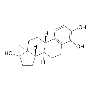 C[C@]12CC[C@@H]3c4ccc(O)c(O)c4CC[C@H]3[C@@H]1CCC2O